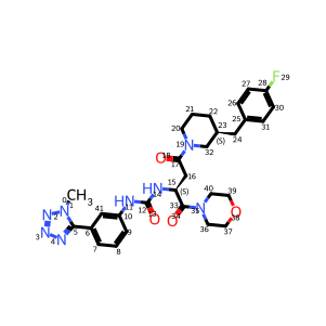 Cn1nnnc1-c1cccc(NC(=O)N[C@@H](CC(=O)N2CCC[C@@H](Cc3ccc(F)cc3)C2)C(=O)N2CCOCC2)c1